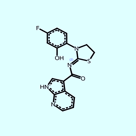 O=C(/N=C1\SCCN1c1ccc(F)cc1O)c1c[nH]c2ncccc12